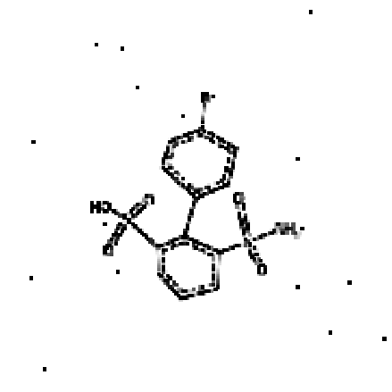 NS(=O)(=O)c1cccc(S(=O)(=O)O)c1-c1ccc(Br)cc1